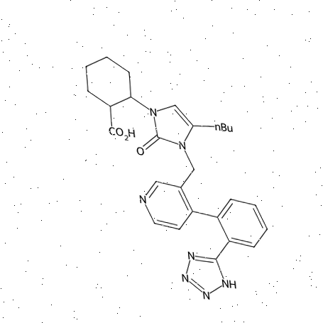 CCCCc1cn(C2CCCCC2C(=O)O)c(=O)n1Cc1cnccc1-c1ccccc1-c1nnn[nH]1